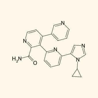 NC(=O)c1nccc(-c2cccnc2)c1-c1cccc(-c2cncn2C2CC2)n1